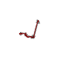 COc1cc2c(cc1OCCCOc1cc3c(cc1C)C(=O)N1CCCC1C=N3)N=CC1Cc3ccc(N(C)C(=O)OCc4ccc(NC(=O)[C@H](C)NC(=O)[C@@H](NC(=O)CCOCCOCCOCCOCCOCCOCCOCCOCCCNC(=O)CCN5C(=O)C=CC5=O)C(C)C)cc4)cc3CN1C2=O